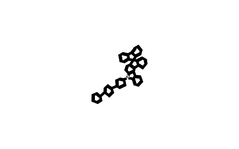 c1ccc(-c2ccc(-c3ccc(-n4c5ccccc5c5c6c(ccc54)C4(c5ccccc5-c5ccccc54)c4ccccc4-6)cc3)cc2)cc1